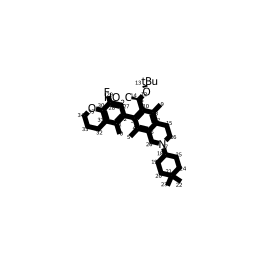 Cc1c(-c2c(C)c3c(c(C)c2[C@H](OC(C)(C)C)C(=O)O)CCN(C2CCC(C)(C)CC2)C3)cc(F)c2c1CCCO2